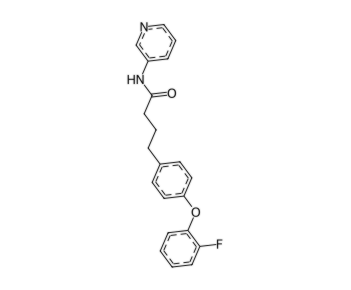 O=C(CCCc1ccc(Oc2ccccc2F)cc1)Nc1cccnc1